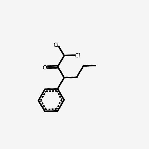 CCCC(C(=O)C(Cl)Cl)c1ccccc1